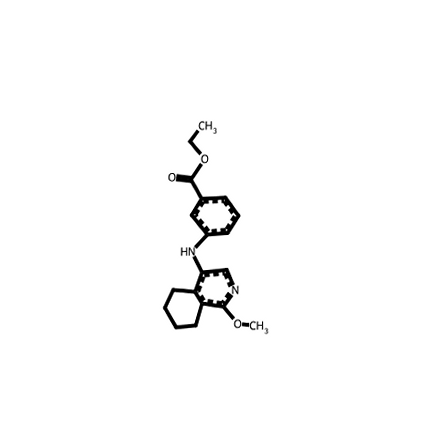 CCOC(=O)c1cccc(Nc2cnc(OC)c3c2CCCC3)c1